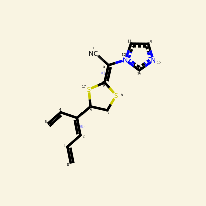 C=C/C=C(\C=C)C1CS/C(=C(/C#N)n2ccnc2)S1